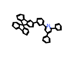 c1ccc(-c2cc(-c3ccccc3)nc(-c3cccc(-c4ccc5c(c4)-c4ccccc4C54c5ccccc5-c5ccccc54)c3)c2)cc1